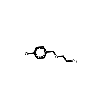 OCCOCc1ccc(Cl)cc1